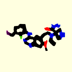 CCN(Cc1cc2c(Nc3cccc(CI)c3F)ncnc2cc1OC)C1(C(N)=O)CNC1